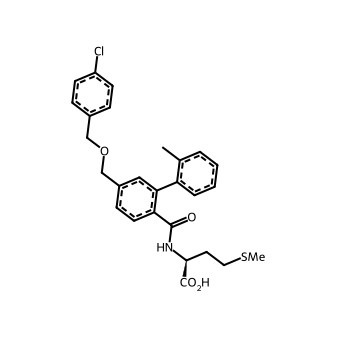 CSCC[C@H](NC(=O)c1ccc(COCc2ccc(Cl)cc2)cc1-c1ccccc1C)C(=O)O